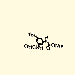 COC(=O)Nc1cc(NC=O)cc(C(C)(C)C)c1